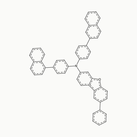 c1ccc(-c2ccc3oc4cc(N(c5ccc(-c6ccc7ccccc7c6)cc5)c5ccc(-c6cccc7ccccc67)cc5)ccc4c3c2)cc1